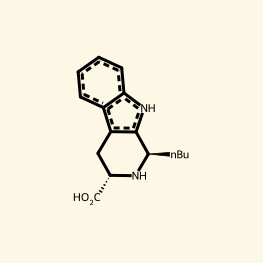 CCCC[C@H]1N[C@H](C(=O)O)Cc2c1[nH]c1ccccc21